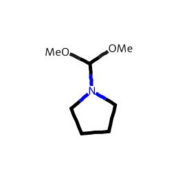 COC(OC)N1CCCC1